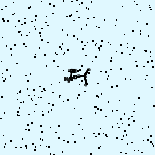 CC(C)Cl.NO